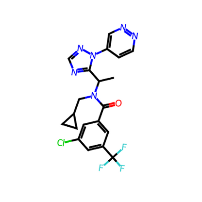 CC(c1ncnn1-c1ccnnc1)N(CC1CC1)C(=O)c1cc(Cl)cc(C(F)(F)F)c1